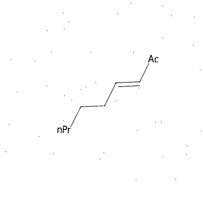 CCCCCC=CC(C)=O